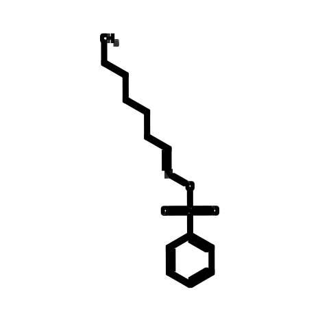 CCCCCC/C=N/OS(=O)(=O)c1ccccc1